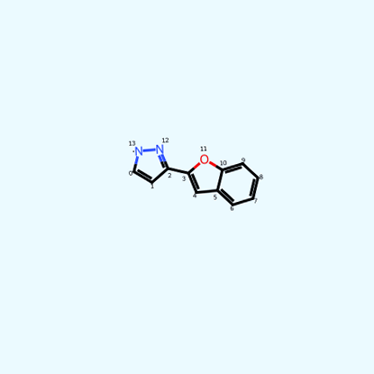 C1=CC(c2cc3ccccc3o2)=N[N]1